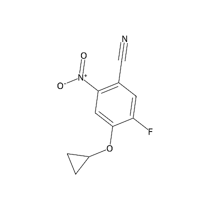 N#Cc1cc(F)c(OC2CC2)cc1[N+](=O)[O-]